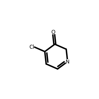 O=C1CN=CC=C1Cl